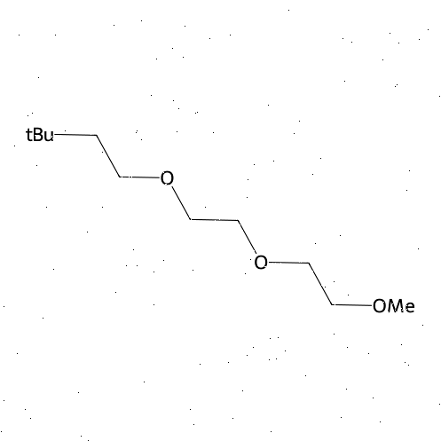 COCCOCCOCCC(C)(C)C